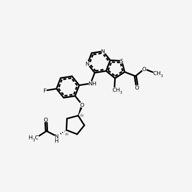 COC(=O)c1sc2ncnc(Nc3ccc(F)cc3O[C@H]3CC[C@H](NC(C)=O)C3)c2c1C